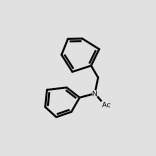 CC(=O)N(Cc1ccccc1)c1ccccc1